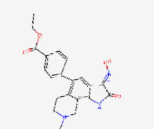 CCOC(=O)c1ccc(-c2cc3c(c4c2CCN(C)C4)NC(=O)/C3=N/O)cc1